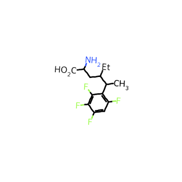 CCC(CC(N)C(=O)O)C(C)c1c(F)cc(F)c(F)c1F